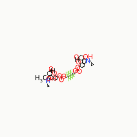 CC1N(CC2CC2)C2C[C@]34c5c2ccc(OC(=O)OCC(F)(F)C(F)(F)C(F)(F)COC(=O)Oc2ccc6c7c2O[C@H]2C(=O)CC[C@@]8(O)C9N(CC%10CC%10)C69C[C@]728)c5O[C@H]3C(=O)CC[C@@]14O